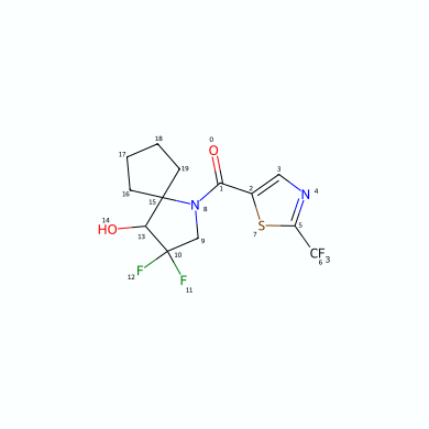 O=C(c1cnc(C(F)(F)F)s1)N1CC(F)(F)C(O)C12CCCC2